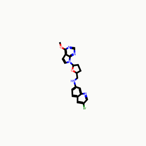 COc1ncnc2c1ccn2C1CCC(CNc2ccc3cc(Br)cnc3c2)O1